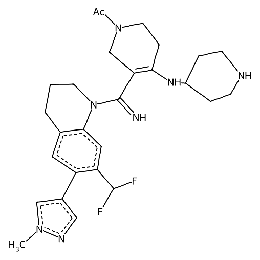 CC(=O)N1CCC(NC2CCNCC2)=C(C(=N)N2CCCc3cc(-c4cnn(C)c4)c(C(F)F)cc32)C1